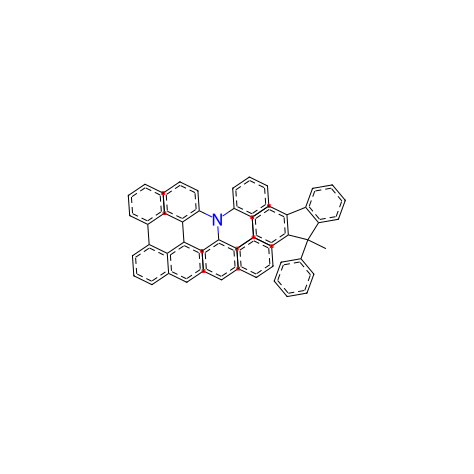 CC1(c2ccccc2)c2ccccc2-c2ccc(-c3ccccc3N(c3ccccc3-c3ccccc3)c3ccccc3-c3cccc4cccc(-c5ccccc5)c34)cc21